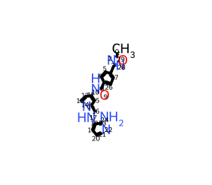 Cc1nc(-c2ccc(C(=O)Nc3ccnc(CNc4cccnc4N)c3)cc2)no1